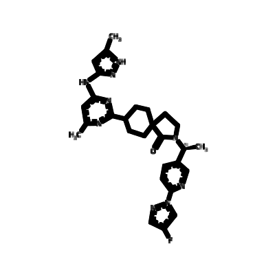 Cc1cc(Nc2cc(C)[nH]n2)nc(C2CCC3(CC2)CCN([C@@H](C)c2ccc(-n4cc(F)cn4)nc2)C3=O)n1